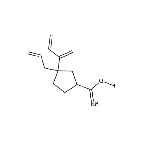 C=CCC1(C(=C)C=C)CCC(C(=N)OI)C1